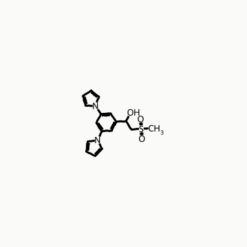 CS(=O)(=O)CC(O)c1cc(-n2cccc2)cc(-n2cccc2)c1